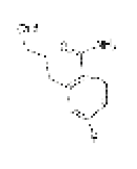 NC(=O)c1ccc(F)cc1CCCO